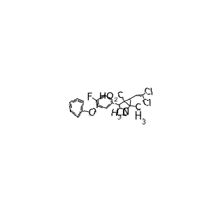 CC1(C)C(C=C(Cl)Cl)[C@@]1(C(=O)O)[C@@H](C#N)c1ccc(F)c(Oc2ccccc2)c1